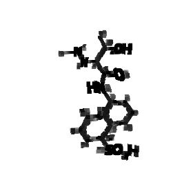 CN=N/C(C(=O)Nc1cccc2c(S(=O)(=O)O)cccc12)=C(\C)O